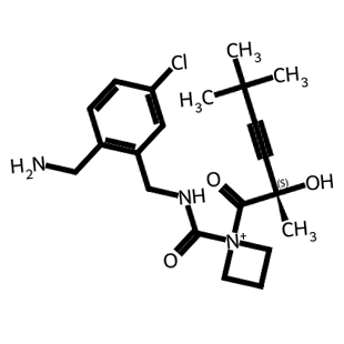 CC(C)(C)C#C[C@](C)(O)C(=O)[N+]1(C(=O)NCc2cc(Cl)ccc2CN)CCC1